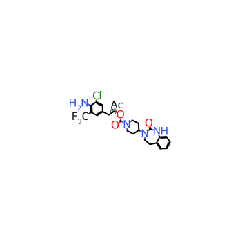 CC(=O)[C@@H](Cc1cc(Cl)c(N)c(C(F)(F)F)c1)OC(=O)N1CCC(N2CCc3ccccc3NC2=O)CC1